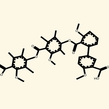 COc1ccc(-c2[c]ccc(OC)c2C(=O)Oc2c(C)c(C)c(C(=O)Oc3c(C)c(C)c(C(=O)O)c(OC)c3C)c(OC)c2C)cc1C(=O)O